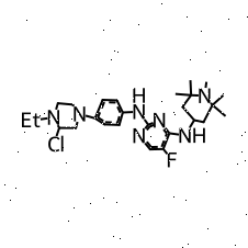 CCN1CCN(c2ccc(Nc3ncc(F)c(NC4CC(C)(C)N(C)C(C)(C)C4)n3)cc2)CC1Cl